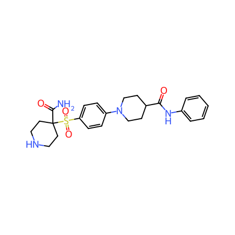 NC(=O)C1(S(=O)(=O)c2ccc(N3CCC(C(=O)Nc4ccccc4)CC3)cc2)CCNCC1